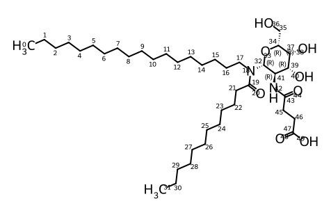 CCCCCCCCCCCCCCCCCCN(C(=O)CCCCCCCCCCC)[C@@H]1O[C@H](CO)[C@H](O)[C@H](O)[C@H]1NC(=O)CCC(=O)O